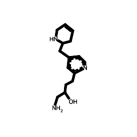 NCC(O)CCc1cc(CC2CC=CCN2)ccn1